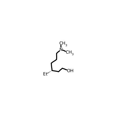 CC[C@@H](CCO)CCCN(C)C